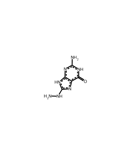 NNc1nc2c(=O)[nH]c(N)nc2[nH]1